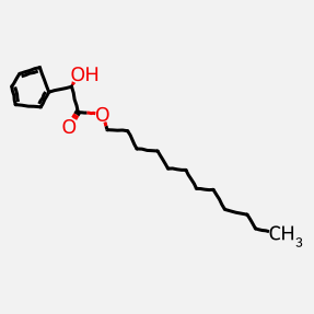 CCCCCCCCCCCCOC(=O)[C@H](O)c1ccccc1